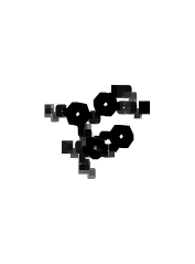 CC1(C)CON(Cc2ccccc2Cl)C1=O.O=C(O)c1cc(Oc2ccc(C(F)(F)F)cc2Cl)ccc1[N+](=O)[O-]